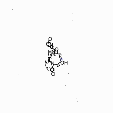 COCC1Cn2cc(C(=O)NS3(=O)=NC(=O)c4ccc5c(c4)N(Cc4ccc(Cl)cc4CCCCO5)CC4CCC4C(O)/C=C/CC(C)C3C)cc2CO1